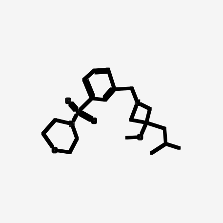 COC1(CC(C)C)CN(Cc2cccc(S(=O)(=O)N3CCOCC3)c2)C1